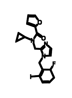 O=C(c1ccco1)N(Cc1nccn1CC1=C(I)C=CCC1F)C1CC1